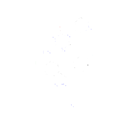 Cc1cncc(-n2c(=O)nc(Nc3cc4cn(CCN5CCOCC5)nc4cc3Cl)n(Cc3cc(F)c(F)c(F)c3)c2=O)c1